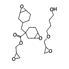 O=C(OCC1CO1)C1(CC2CCC3OC3C2)CCC2OC2C1.OCCCCOCC1CO1